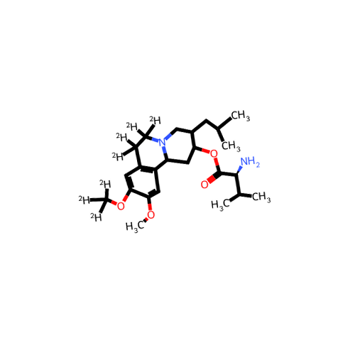 [2H]C([2H])([2H])Oc1cc2c(cc1OC)C1CC(OC(=O)[C@@H](N)C(C)C)C(CC(C)C)CN1C([2H])([2H])C2([2H])[2H]